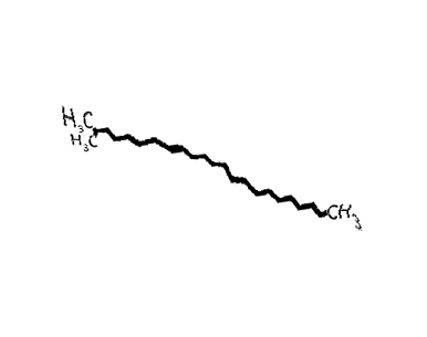 CCCCCCCCCCCCCCC=CCCCCCC(C)C